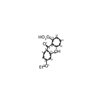 CCOc1ccc(C(=O)c2ccccc2C(=O)O)c(O)c1